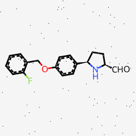 O=C[C@@H]1CC[C@H](c2ccc(OCc3ccccc3F)cc2)N1